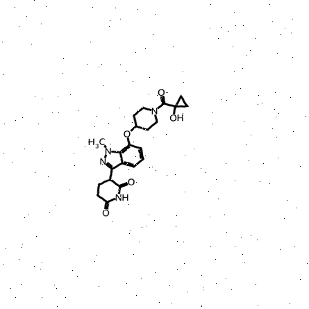 Cn1nc(C2CCC(=O)NC2=O)c2cccc(OC3CCN(C(=O)C4(O)CC4)CC3)c21